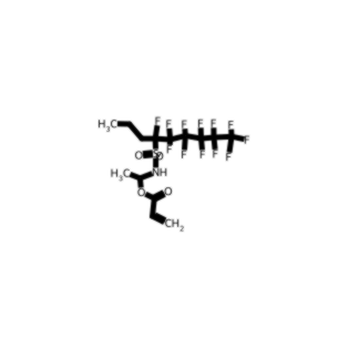 C=CC(=O)OC(C)NS(=O)(=O)C(F)(CCC)C(F)(F)C(F)(F)C(F)(F)C(F)(F)C(F)(F)F